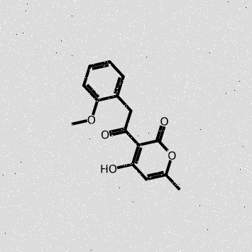 COc1ccccc1CC(=O)c1c(O)cc(C)oc1=O